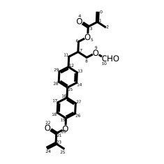 C=C(C)C(=O)OCC(COC=O)Cc1ccc(-c2ccc(OC(=O)C(=C)C)cc2)cc1